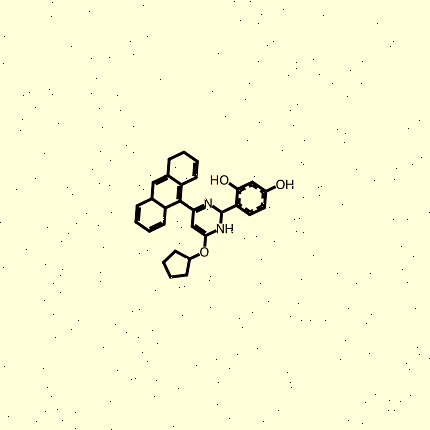 Oc1ccc(C2N=C(C3=C4C=CCCC4=CC4C=CC=CC34)C=C(OC3CCCC3)N2)c(O)c1